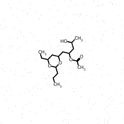 CCCC1OC(CC)CC(CC(CC(C)O)OC(C)=O)O1